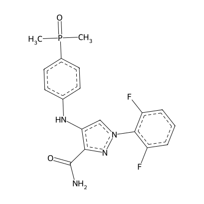 CP(C)(=O)c1ccc(Nc2cn(-c3c(F)cccc3F)nc2C(N)=O)cc1